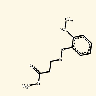 CNc1ccccc1SSCCC(=O)OC